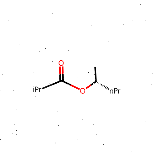 CCC[C@@H](C)OC(=O)C(C)C